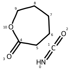 N=C=O.O=C1CCCCCO1